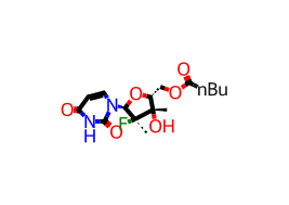 CCCCC(=O)OC[C@H]1O[C@H](n2ccc(=O)[nH]c2=O)[C@](C)(F)[C@@]1(C)O